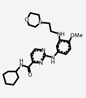 COc1ccc(Nc2nccc(C(=O)NC3CCCCC3)n2)cc1NCCN1CCOCC1